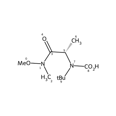 CON(C)C(=O)[C@H](C)N(C(=O)O)C(C)(C)C